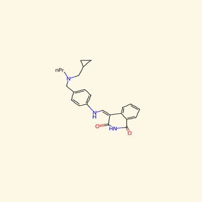 CCCN(Cc1ccc(NC=C2C(=O)NC(=O)c3ccccc32)cc1)CC1CC1